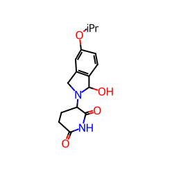 CC(C)Oc1ccc2c(c1)CN(C1CCC(=O)NC1=O)C2O